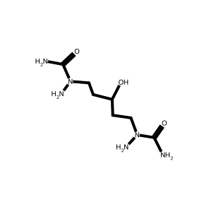 NC(=O)N(N)CCC(O)CCN(N)C(N)=O